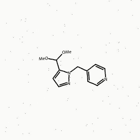 COC(OC)c1ccnn1Cc1ccncc1